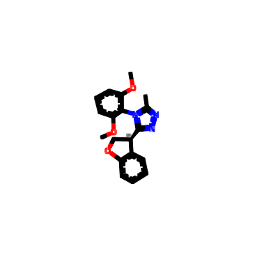 COc1cccc(OC)c1-n1c(C)nnc1[C@@H]1COc2ccccc21